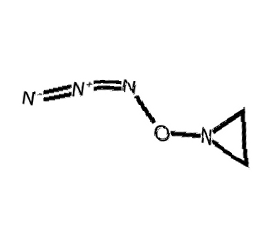 [N-]=[N+]=NON1CC1